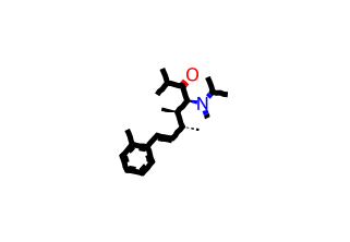 Cc1ccccc1/C=C/[C@@H](C)[C@@H](C)[C@@H](C(=O)C(C)C)N(C)C(C)C